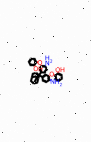 Nc1ccc(C2(c3ccc(N)c(Oc4ccccc4O)c3)C3CC4CC(C3)CC2C4)cc1Oc1ccccc1O